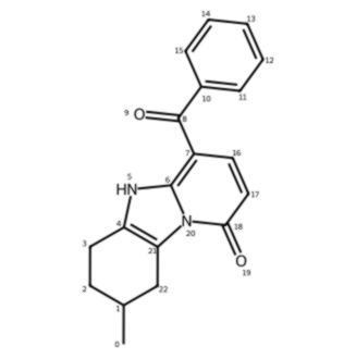 CC1CCc2[nH]c3c(C(=O)c4ccccc4)ccc(=O)n3c2C1